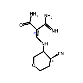 N#C[C@H]1CCOCC1N/C=C(\C(=N)N)C(N)=O